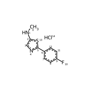 CNc1cnc(-c2ccc(F)cc2)s1.Cl